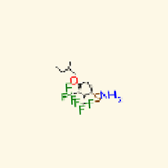 CCC(C)COc1ccc(SN)c(C(F)(F)F)c1C(F)(F)F